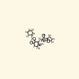 Cc1cc(=O)c(OCc2ccccc2)c(CNC(=O)c2ccco2)n1C